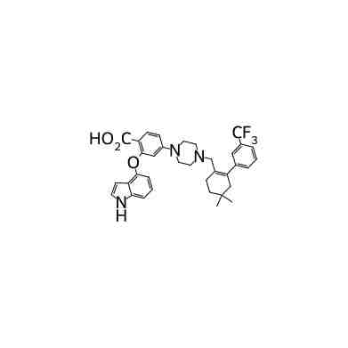 CC1(C)CCC(CN2CCN(c3ccc(C(=O)O)c(Oc4cccc5[nH]ccc45)c3)CC2)=C(c2cccc(C(F)(F)F)c2)C1